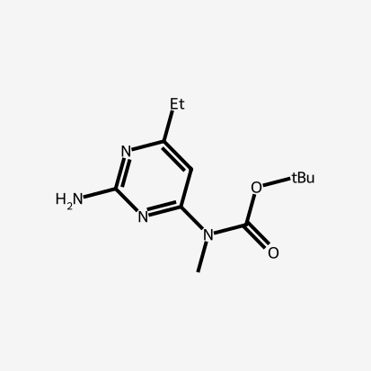 CCc1cc(N(C)C(=O)OC(C)(C)C)nc(N)n1